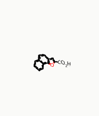 O=C(O)c1cc2ccc3ccccc3c2o1